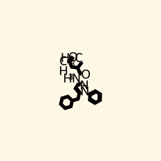 CCC(CC(C)=O)C(=O)Nc1cc(CC2CCCCC2)n(-c2ccccc2)n1